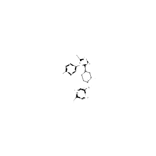 Cc1ccc(-n2c(C)nnc2C2CCC(Oc3cnc(C)cn3)CC2)cc1